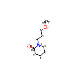 CC(C)OCCCN1CCCCC1=O